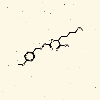 COc1ccc(C/N=N/C(=O)NC(CCCCN)C(=O)O)cc1